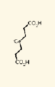 O=C(O)C[CH2][Ge][CH2]CC(=O)O